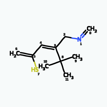 C=NC/C(=C/C(=C)S)C(C)(C)C